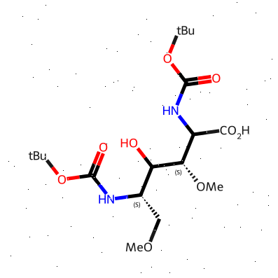 COC[C@H](NC(=O)OC(C)(C)C)C(O)[C@@H](OC)C(NC(=O)OC(C)(C)C)C(=O)O